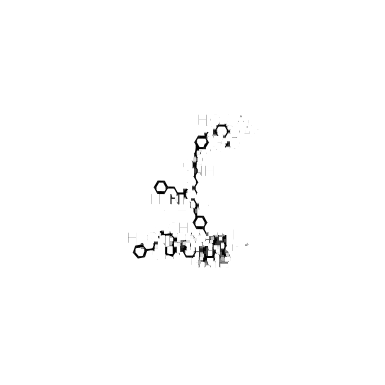 CC[C@H](C)[C@@H]([C@@H](CC(=O)N1CCC[C@H]1[C@H](OC)[C@@H](C)C(=O)N[C@H](C)[C@@H](O)c1ccccc1)OC)N(C)C(=O)[C@@H](NC(=O)[C@H](C(C)C)N(C)C(=O)OCc1ccc(NC(=O)[C@H](CCCCNC(=O)OCc2ccc(O[C@@H]3O[C@H](C(=O)OC)[C@@H](OC(C)=O)[C@H](OC(C)=O)[C@H]3O)cc2)NC(=O)[C@@H](N)Cc2ccccc2)cc1)C(C)C